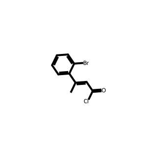 CC(=CC(=O)Cl)c1ccccc1Br